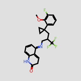 COc1c(F)cccc1C1(CC(CN=C2C=CC=C3NC(=O)CC=C32)C(F)(F)F)CC1